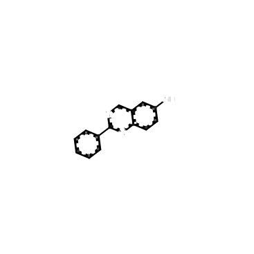 Nc1ccc2nc(-c3ccccc3)ncc2c1